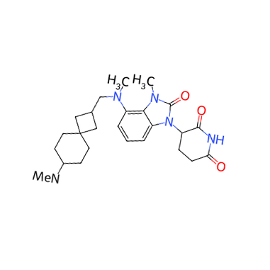 CNC1CCC2(CC1)CC(CN(C)c1cccc3c1n(C)c(=O)n3C1CCC(=O)NC1=O)C2